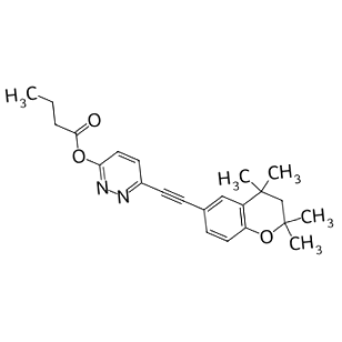 CCCC(=O)Oc1ccc(C#Cc2ccc3c(c2)C(C)(C)CC(C)(C)O3)nn1